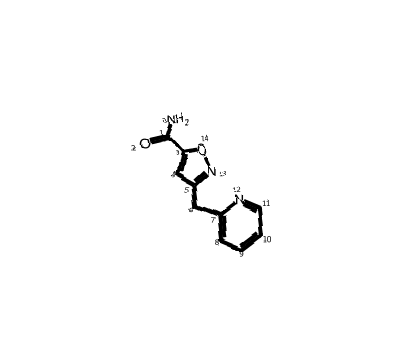 NC(=O)c1cc(Cc2ccccn2)no1